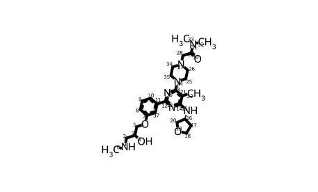 CNCC(O)COc1cccc(-c2nc(N[C@@H]3CCOC3)c(C)c(N3CCN(CC(=O)N(C)C)CC3)n2)c1